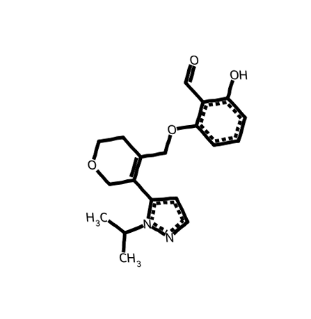 CC(C)n1nccc1C1=C(COc2cccc(O)c2C=O)CCOC1